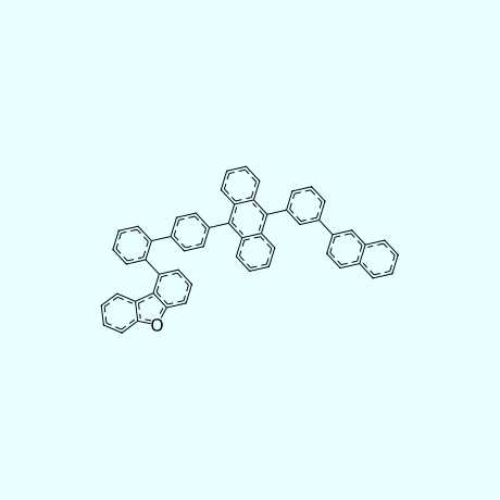 c1cc(-c2ccc3ccccc3c2)cc(-c2c3ccccc3c(-c3ccc(-c4ccccc4-c4cccc5oc6ccccc6c45)cc3)c3ccccc23)c1